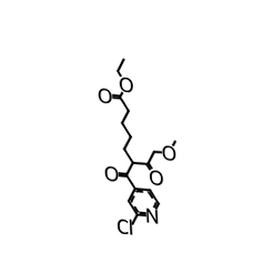 CCOC(=O)CCCCC(C(=O)COC)C(=O)c1ccnc(Cl)c1